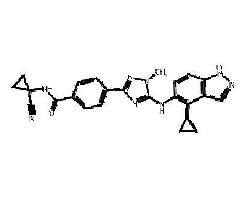 Cn1nc(-c2ccc(C(=O)NC3(C#N)CC3)cc2)nc1Nc1ccc2[nH]ncc2c1C1CC1